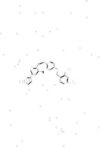 COc1ccc(CNc2ccc3ccc4ncc(-c5cc[nH]n5)cc4c(=O)c3c2)c(OC)c1